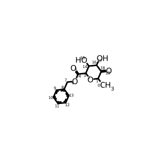 CC1OC(C(=O)OCc2ccccc2)C(O)C(O)C1=O